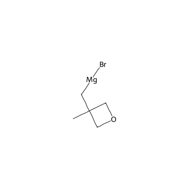 CC1([CH2][Mg][Br])COC1